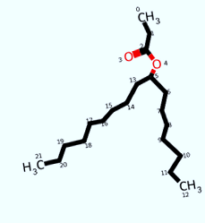 C[CH]C(=O)OC(CCCCCCC)CCCCCCCCC